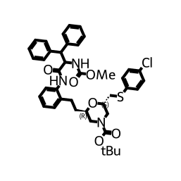 COC(=O)NC(C(=O)Nc1ccccc1CC[C@@H]1CN(C(=O)OC(C)(C)C)C[C@@H](CSc2ccc(Cl)cc2)O1)C(c1ccccc1)c1ccccc1